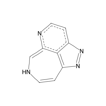 C1=CC2=c3c(ccnc3=CN1)N=N2